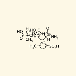 CC(=O)OCC1=C(C(=O)O)N2C(=O)[C@@H](N)[C@H]2SC1.CC(C)(C)C(=O)O.Cc1ccc(S(=O)(=O)O)cc1